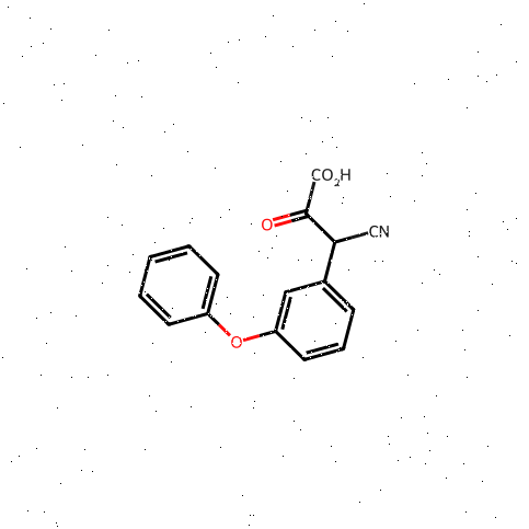 N#CC(C(=O)C(=O)O)c1cccc(Oc2ccccc2)c1